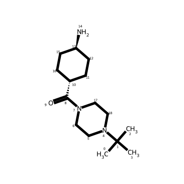 CC(C)(C)N1CCN(C(=O)[C@H]2CC[C@H](N)CC2)CC1